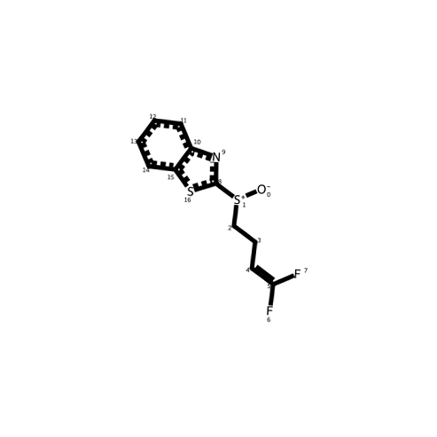 [O-][S+](CCC=C(F)F)c1nc2ccccc2s1